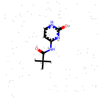 CC(C)(C)C(=O)Nc1cc[nH]c(=O)n1